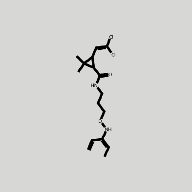 C=C/C(=C\C)NOCCCNC(=O)C1C(C=C(Cl)Cl)C1(C)C